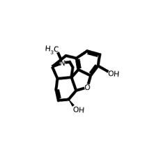 CN1CCC23c4c5ccc(O)c4OC2[C@@H](O)C=CC3C1C5